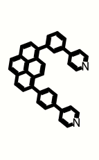 c1cc(-c2ccncc2)cc(-c2ccc3ccc4ccc(-c5ccc(-c6ccncc6)cc5)c5ccc2c3c45)c1